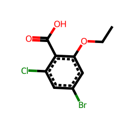 CCOc1cc(Br)cc(Cl)c1C(=O)O